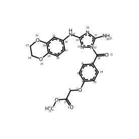 COC(=O)COc1ccc(C(=O)n2nc(Nc3ccc4c(c3)OCCO4)nc2N)cc1